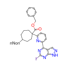 CCCCCCCCCC1CCCC(C(=O)OCc2ccccc2)(c2cccc(-c3nc(I)nc4[nH]ncc34)n2)CC1